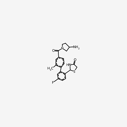 Cc1cc(C(=O)N2CCC(N)C2)ccc1-c1cc(F)ccc1C1NC(=O)CS1